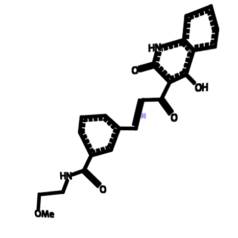 COCCNC(=O)c1cccc(/C=C/C(=O)c2c(O)c3ccccc3[nH]c2=O)c1